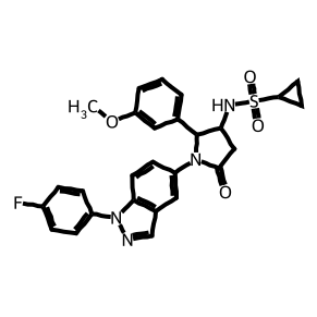 COc1cccc(C2C(NS(=O)(=O)C3CC3)CC(=O)N2c2ccc3c(cnn3-c3ccc(F)cc3)c2)c1